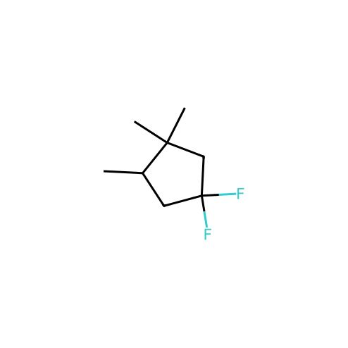 CC1CC(F)(F)CC1(C)C